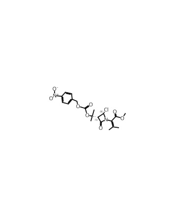 COC(=O)C(=C(C)C)N1C(=O)[C@H](C(C)(C)OC(=O)OCc2ccc([N+](=O)[O-])cc2)[C@H]1Cl